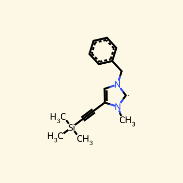 CN1[CH]N(Cc2ccccc2)C=C1C#C[Si](C)(C)C